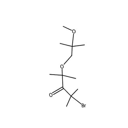 COC(C)(C)COC(C)(C)C(=O)C(C)(C)Br